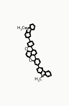 Cn1c2ccccc2c2cc(-c3ccc4c(c3)Oc3ccc5c6c(ccc-4c36)-c3ccc(-c4ccc6c(c4)c4ccccc4n6C)cc3O5)ccc21